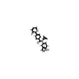 O=C(C1CC=C(C2N=CC=CC2F)CC1)N(C1CC1)C1CCc2[nH]ncc2C1